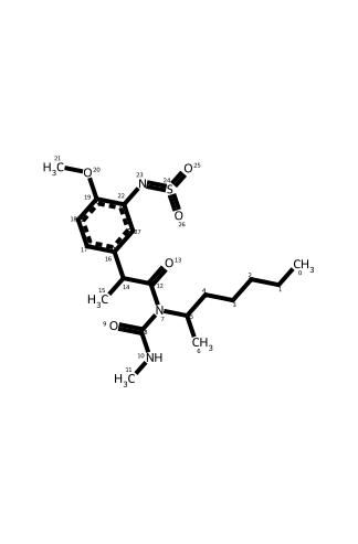 CCCCCC(C)N(C(=O)NC)C(=O)C(C)c1ccc(OC)c(N=S(=O)=O)c1